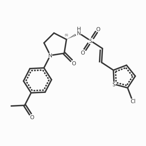 CC(=O)c1ccc(N2CC[C@H](NS(=O)(=O)C=Cc3ccc(Cl)s3)C2=O)cc1